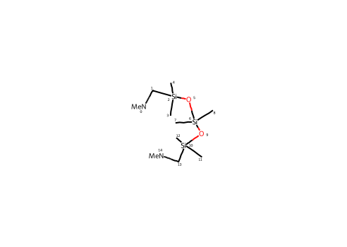 CNC[Si](C)(C)O[Si](C)(C)O[Si](C)(C)CNC